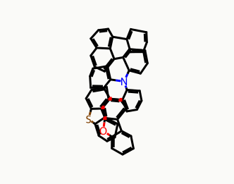 c1ccc(-c2cccc3cccc(-c4ccccc4N(c4ccccc4-c4ccc5c(c4)oc4ccccc45)c4ccccc4-c4cccc5sc6ccccc6c45)c23)cc1